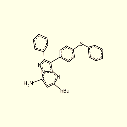 CCCCc1cc(N)n2nc(-c3ccccc3)c(-c3ccc(Sc4ccccc4)cc3)c2n1